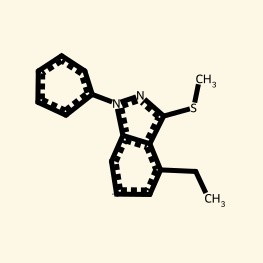 CCc1c[c]cc2c1c(SC)nn2-c1ccccc1